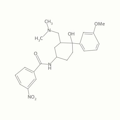 COc1cccc(C2(O)CCC(NC(=O)c3cccc([N+](=O)[O-])c3)CC2CN(C)C)c1